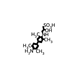 Cc1cc(-c2cc(C)c(NCC(O)CS(=O)(=O)O)c(C)c2)cc(C)c1N